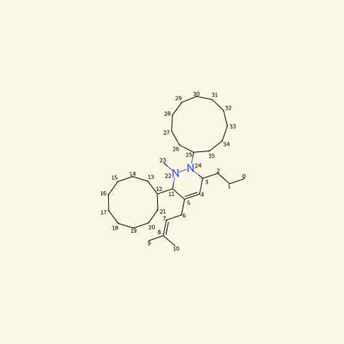 CCCC1C=C(CC=C(C)C)C(C2CCCCCCCCC2)N(C)N1C1CCCCCCCCCC1